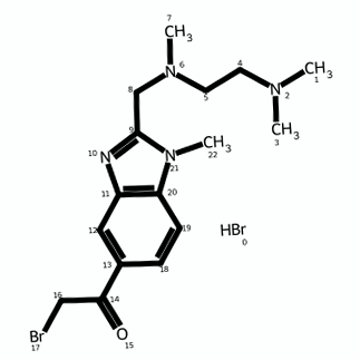 Br.CN(C)CCN(C)Cc1nc2cc(C(=O)CBr)ccc2n1C